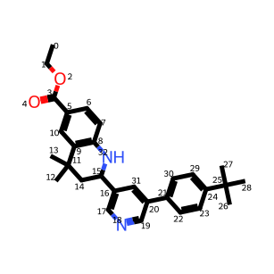 CCOC(=O)c1ccc2c(c1)C(C)(C)CC(c1cncc(-c3ccc(C(C)(C)C)cc3)c1)N2